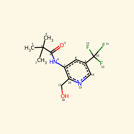 CC(C)(C)C(=O)Nc1cc(C(F)(F)F)cnc1CO